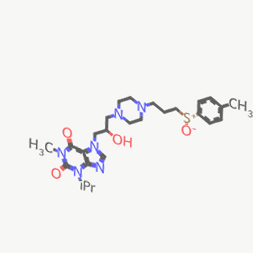 Cc1ccc([S+]([O-])CCCN2CCN(CC(O)Cn3cnc4c3c(=O)n(C)c(=O)n4C(C)C)CC2)cc1